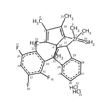 CC1=C(C)C(C)[C]([Zr]([CH3])([CH3])(=[SiH2])[CH]2C=C(c3c(F)c(F)cc(F)c3F)c3ccccc32)=C1C.Cl.Cl